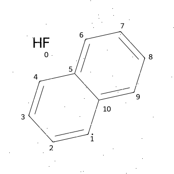 F.[c]1cccc2ccccc12